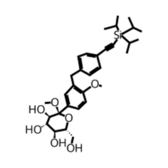 COc1ccc([C@]2(OC)O[C@H](CO)[C@@H](O)[C@H](O)[C@H]2O)cc1Cc1ccc(C#C[Si](C(C)C)(C(C)C)C(C)C)cc1